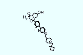 CC1(CN2CCC(COc3ccc(-c4ccc(C(=O)N5C[C@H](O)C[C@H]5C(N)=O)cc4F)nc3)CC2)CCC1